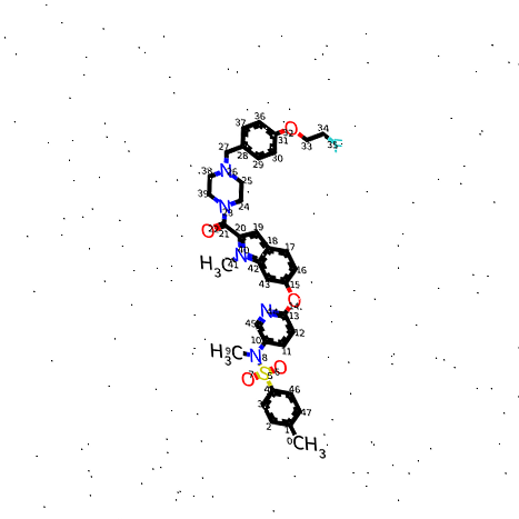 Cc1ccc(S(=O)(=O)N(C)c2ccc(Oc3ccc4cc(C(=O)N5CCN(Cc6ccc(OCCF)cc6)CC5)n(C)c4c3)nc2)cc1